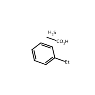 CC(=O)O.CCc1ccccc1.S